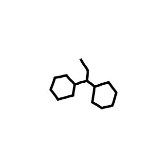 CCC(C1CCCCC1)C1CCCCC1